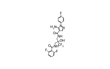 Nc1c(C(=O)NCC(O)(CNC(=O)c2c(F)cccc2F)C(F)(F)F)cnn1-c1ccc(F)cc1